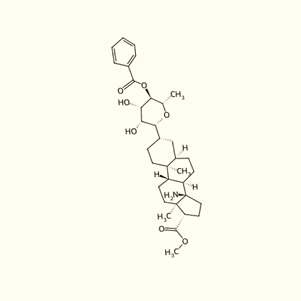 COC(=O)[C@H]1CC[C@@]2(N)[C@@H]3CC[C@@H]4C[C@@H]([C@H]5O[C@@H](C)[C@H](OC(=O)c6ccccc6)[C@@H](O)[C@H]5O)CC[C@]4(C)[C@H]3CC[C@]12C